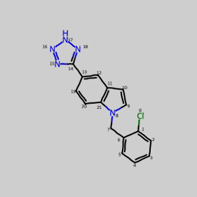 Clc1ccccc1Cn1ccc2cc(-c3nn[nH]n3)ccc21